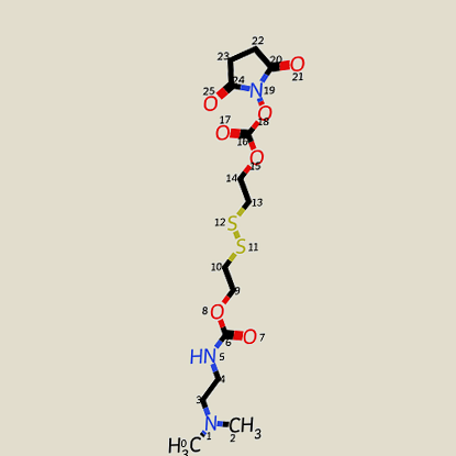 CN(C)CCNC(=O)OCCSSCCOC(=O)ON1C(=O)CCC1=O